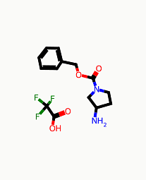 NC1CCN(C(=O)OCc2ccccc2)C1.O=C(O)C(F)(F)F